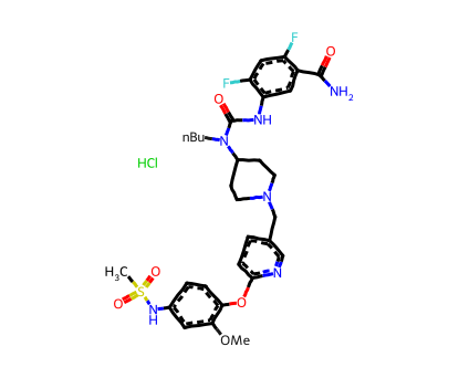 CCCCN(C(=O)Nc1cc(C(N)=O)c(F)cc1F)C1CCN(Cc2ccc(Oc3ccc(NS(C)(=O)=O)cc3OC)nc2)CC1.Cl